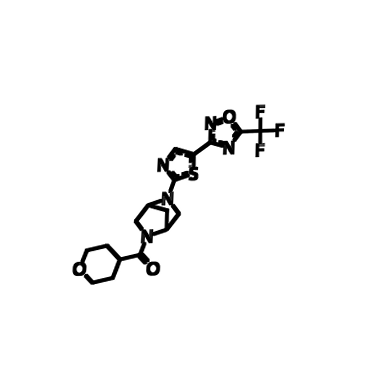 O=C(C1CCOCC1)N1CC2CC1CN2c1ncc(-c2noc(C(F)(F)F)n2)s1